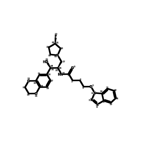 O=C(CCCOn1nnc2ccccc21)N[C@H](CN1CC[C@@H](F)C1)[C@H](O)c1ccc2c(c1)OCCO2